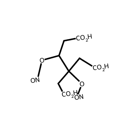 O=NOC(CC(=O)O)C(CC(=O)O)(CC(=O)O)ON=O